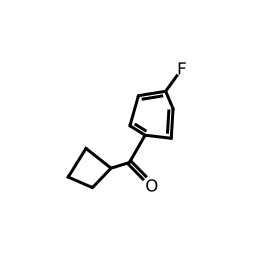 O=C(c1ccc(F)cc1)C1CCC1